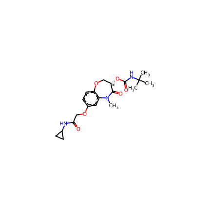 CN1C(=O)[C@@H](OC(=O)NC(C)(C)C)COc2ccc(OCC(=O)NC3CC3)cc21